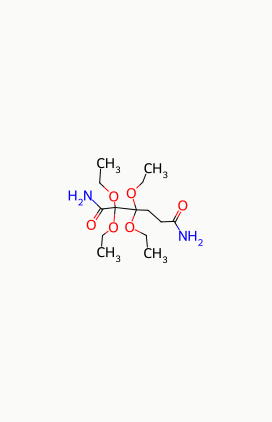 CCOC(CCC(N)=O)(OCC)C(OCC)(OCC)C(N)=O